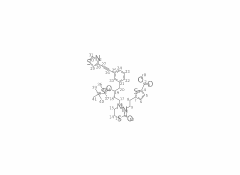 COC(=O)c1ccc(CCN2C(=O)SCCN2CC[C@H](Cc2cccc(C#Cc3cscn3)c2)O[Si](C)(C)C(C)(C)C)s1